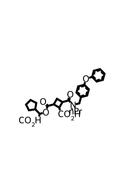 CCCN(Cc1ccc(Oc2ccccc2)cc1)C(=O)C1CC(C(=O)OC(C(=O)O)C2CCCC2)C1C(=O)O